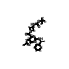 Cc1nc2nc(N[C@@H](C)c3ccccn3)nc(C(=O)N3CC(NC(=O)OC(C)(C)C)C3)c2s1